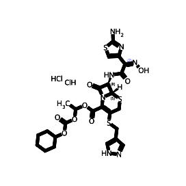 CC(OC(=O)OC1CCCCC1)OC(=O)C1=C(SCc2cn[nH]c2)CS[C@H]2[C@H](NC(=O)/C(=N\O)c3csc(N)n3)C(=O)N12.Cl.Cl